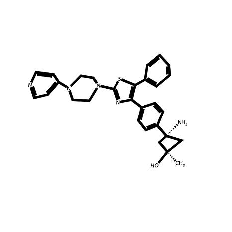 C[C@]1(O)C[C@@](N)(c2ccc(-c3nc(N4CCN(c5ccncc5)CC4)sc3-c3ccccc3)cc2)C1